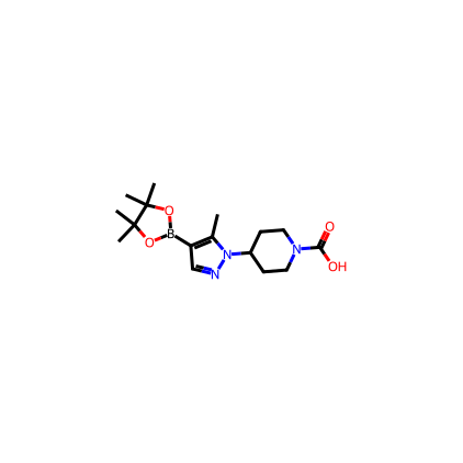 Cc1c(B2OC(C)(C)C(C)(C)O2)cnn1C1CCN(C(=O)O)CC1